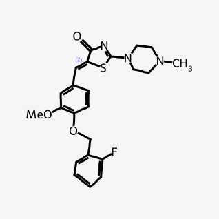 COc1cc(/C=C2\SC(N3CCN(C)CC3)=NC2=O)ccc1OCc1ccccc1F